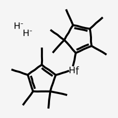 CC1=C(C)C(C)(C)[C]([Hf][C]2=C(C)C(C)=C(C)C2(C)C)=C1C.[H-].[H-]